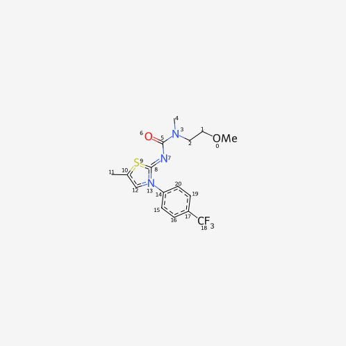 COCCN(C)C(=O)N=c1sc(C)cn1-c1ccc(C(F)(F)F)cc1